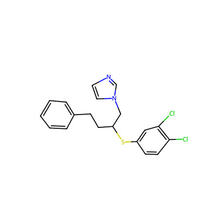 Clc1ccc(SC(CCc2ccccc2)Cn2ccnc2)cc1Cl